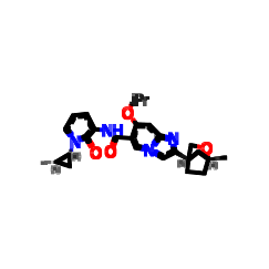 CC(C)Oc1cc2nc([C@]34CC[C@](C)(C3)OC4)cn2cc1C(=O)Nc1cccn([C@@H]2C[C@@H]2C)c1=O